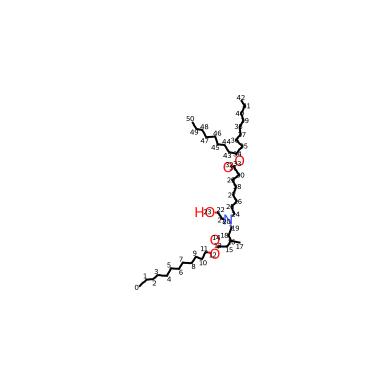 CCCCCCCCCCCCOC(=O)CC(C)CCN(CCO)CCCCCCCC(=O)OC(CCCCCCCC)CCCCCCCC